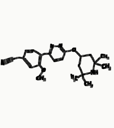 COc1cc(C#N)ccc1-c1ccc(OC2CC(C)(C)NC(C)(C)C2)nn1